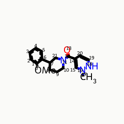 COc1ccccc1C1CCCN(C(=O)C2=CN(C)NC=C2)C1